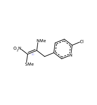 CN/C(Cc1ccc(Cl)nc1)=C(/SC)[N+](=O)[O-]